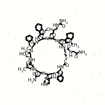 CC(C)C[C@@H]1NC(=O)[C@H](CC(N)=O)NC(=O)[C@H](Cc2c[nH]cn2)NC(=O)[C@H](Cc2ccccc2)NC(=O)CSC[C@@H](C(=O)NCC(N)=O)NC(=O)[C@H](Cc2cn(C)c3ccccc23)NC(=O)[C@H](CCCCNC(N)=O)NC(=O)[C@H](Cc2cn(C)c3ccccc23)NC(=O)[C@H](Cc2ccccc2)N(C)C(=O)[C@H](CO)NC1=O